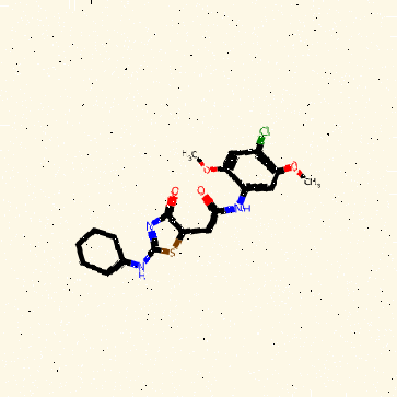 COc1cc(NC(=O)CC2SC(NC3CCCCC3)=NC2=O)c(OC)cc1Cl